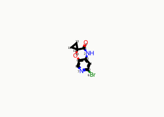 O=C1Nc2cc(Br)ncc2OC12CC2